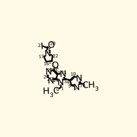 CCn1c(-c2cnc(C)nc2)nc2c(O[C@H]3CCN(C(=O)I)C3)ncnc21